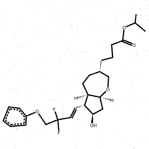 CC(C)OC(=O)CCC[C@H]1CC[C@@H]2[C@@H](/C=C/C(F)(F)COc3ccccc3)[C@H](O)C[C@@H]2OC1